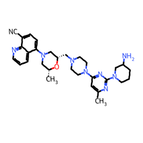 Cc1cc(N2CCN(C[C@H]3CN(c4ccc(C#N)c5ncccc45)C[C@@H](C)O3)CC2)nc(N2CCCC(N)C2)n1